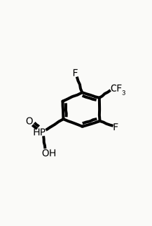 O=[PH](O)c1cc(F)c(C(F)(F)F)c(F)c1